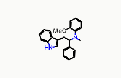 COc1ccccc1N(C)C([CH]c1c[nH]c2ccccc12)c1ccccc1